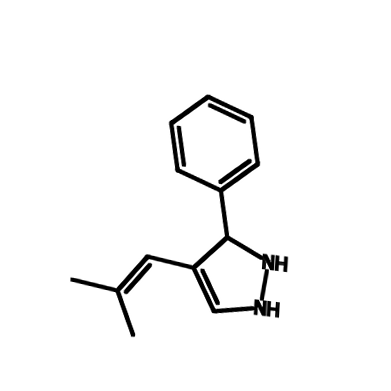 CC(C)=CC1=CNNC1c1ccccc1